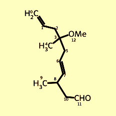 C=CCC(C)(CC=CC(C)CC=O)OC